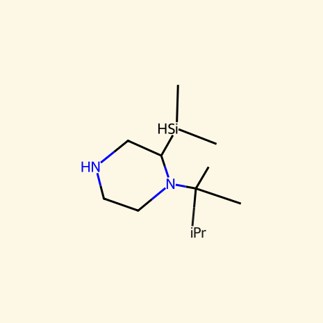 CC(C)C(C)(C)N1CCNCC1[SiH](C)C